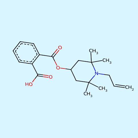 C=CCN1C(C)(C)CC(OC(=O)c2ccccc2C(=O)O)CC1(C)C